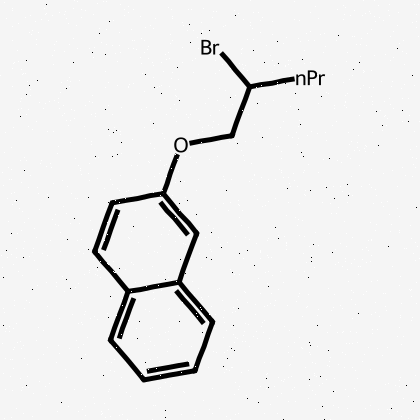 CCCC(Br)COc1ccc2ccccc2c1